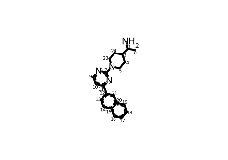 CC(N)C1CCN(c2nccc(-c3ccc4ccccc4c3)n2)CC1